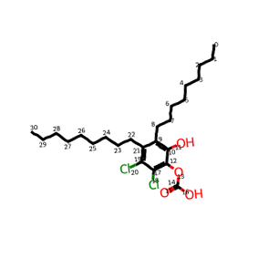 CCCCCCCCCc1c(O)c(OC(=O)O)c(Cl)c(Cl)c1CCCCCCCCC